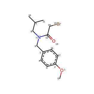 COc1ccc(CN(CC(C)C)C(=O)CBr)cc1